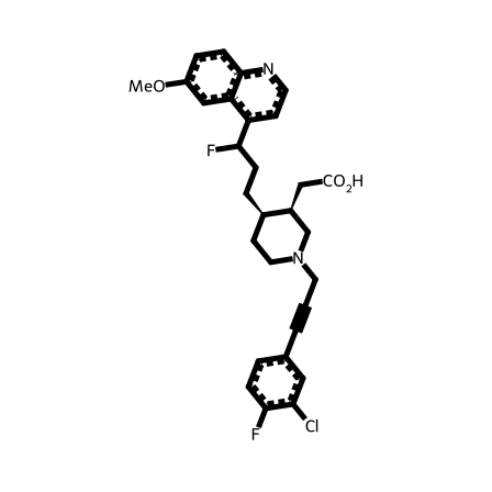 COc1ccc2nccc(C(F)CC[C@@H]3CCN(CC#Cc4ccc(F)c(Cl)c4)C[C@@H]3CC(=O)O)c2c1